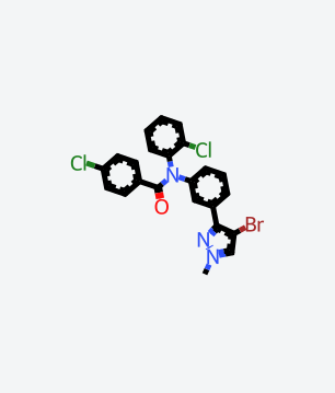 Cn1cc(Br)c(-c2cccc(N(C(=O)c3ccc(Cl)cc3)c3ccccc3Cl)c2)n1